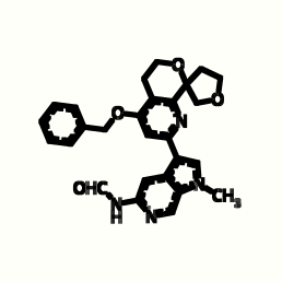 Cn1cc(-c2cc(OCc3ccccc3)c3c(n2)C2(CCOC2)OCC3)c2cc(NC=O)ncc21